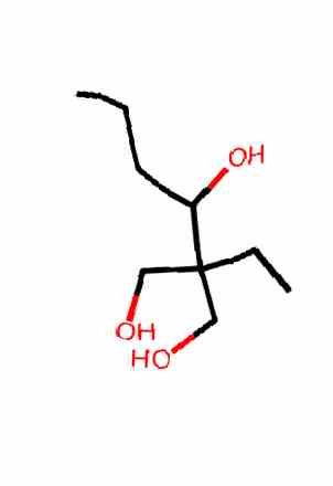 CCCC(O)C(CC)(CO)CO